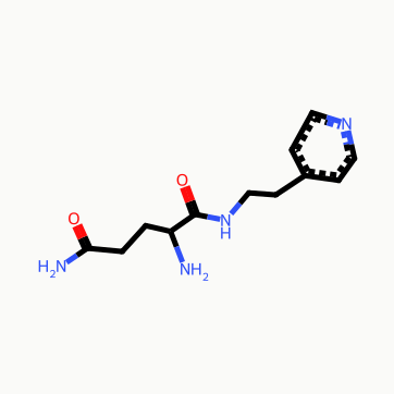 NC(=O)CCC(N)C(=O)NCCc1ccncc1